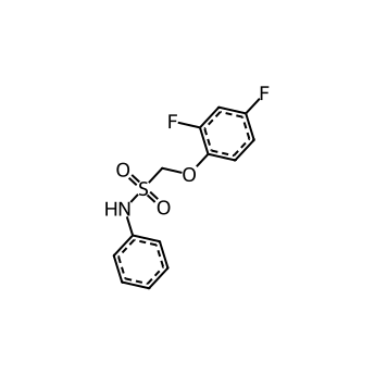 O=S(=O)(COc1ccc(F)cc1F)Nc1ccccc1